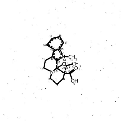 CCC1(C(=O)O)CCCN2CCc3c(n(C)c4ccccc34)C21C